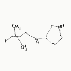 CC(C)(I)CN[C@H]1CCNC1